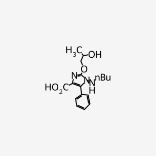 CCCCNn1c(OCC(C)O)nc(C(=O)O)c1-c1ccccc1